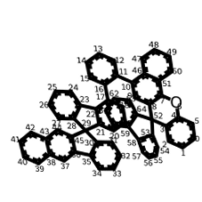 c1ccc2c(c1)Oc1c(cc(-c3ccccc3-c3cccc4c3-c3ccccc3C43c4ccccc4-c4cc5ccccc5cc43)c3ccccc13)C21c2ccccc2-c2ccccc21